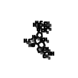 CC[C@H]1[C@@H](O)C2C3CC[C@H]([C@H](C)CO)[C@@]3(C)CCC2[C@@]2(C)CCC(O[Si](C)(C)C(C)(C)C)C[C@@H]12